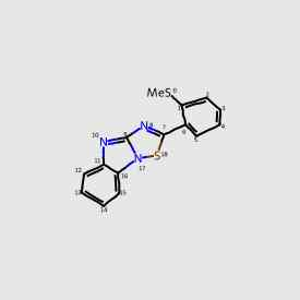 CSc1ccccc1-c1nc2nc3ccccc3n2s1